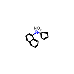 O=[N+]([O-])N(c1ccccc1)c1cccc2ccccc12